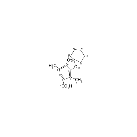 Cc1cc(C(=O)O)c(C)c2c1OC1(CCCCC1)O2